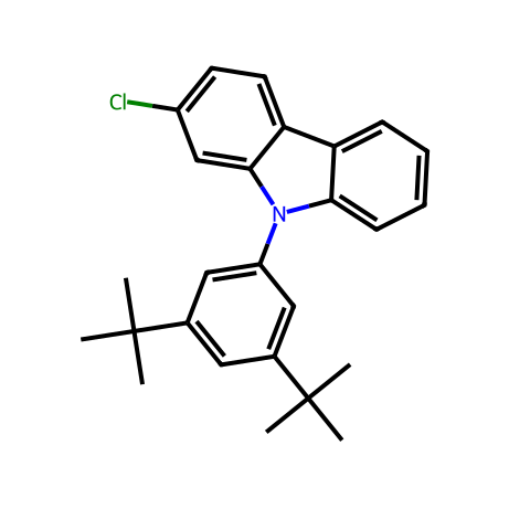 CC(C)(C)c1cc(-n2c3ccccc3c3ccc(Cl)cc32)cc(C(C)(C)C)c1